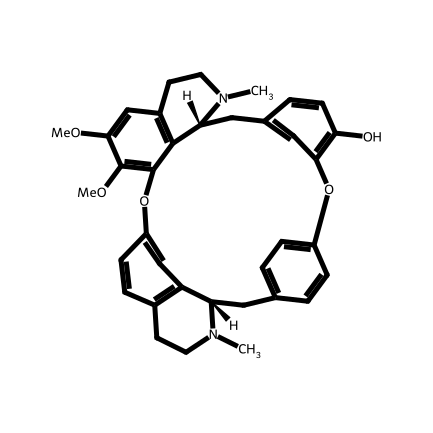 COc1cc2c3c(c1OC)Oc1ccc4c(c1)[C@H](Cc1ccc(cc1)Oc1cc(ccc1O)C[C@H]3N(C)CC2)N(C)CC4